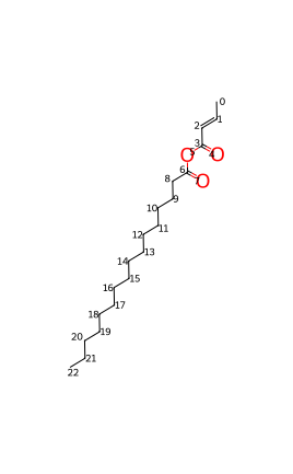 CC=CC(=O)OC(=O)CCCCCCCCCCCCCCC